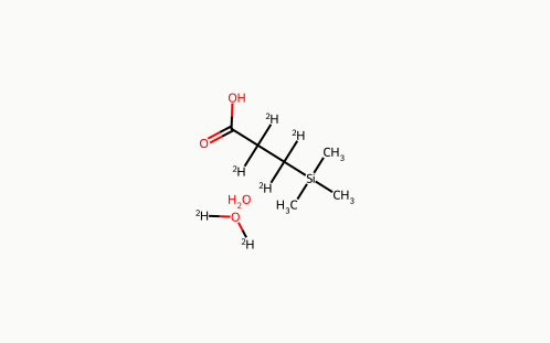 O.[2H]C([2H])(C(=O)O)C([2H])([2H])[Si](C)(C)C.[2H]O[2H]